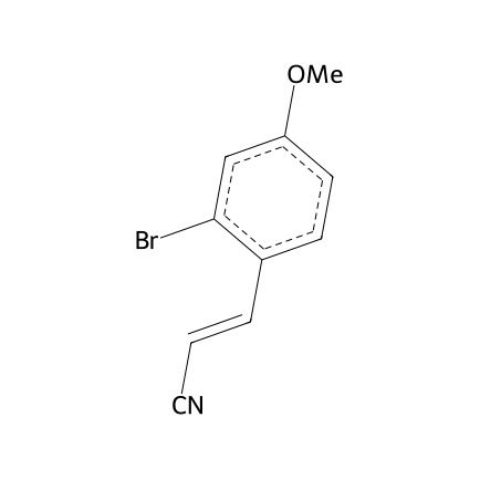 COc1ccc(/C=C/C#N)c(Br)c1